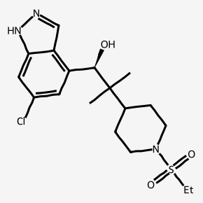 CCS(=O)(=O)N1CCC(C(C)(C)[C@H](O)c2cc(Cl)cc3[nH]ncc23)CC1